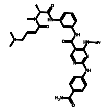 CCCNc1nc(Nc2ccc(C(N)=O)cc2)ncc1C(=O)Nc1cccc(NC(=O)[C@H](C)N(C)C(=O)/C=C/CN(C)C)c1